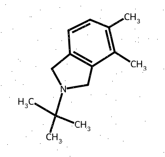 Cc1ccc2c(c1C)CN(C(C)(C)C)C2